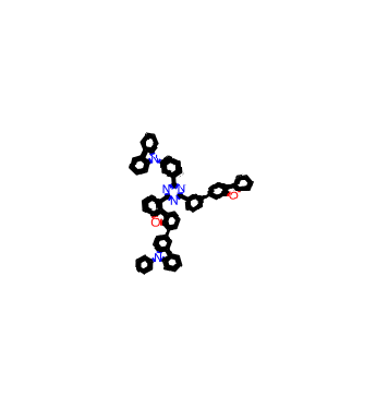 c1ccc(-n2c3ccccc3c3cc(-c4cccc5c4oc4cccc(-c6nc(-c7cccc(-c8ccc9c(c8)oc8ccccc89)c7)nc(-c7cccc(-n8c9ccccc9c9ccccc98)c7)n6)c45)ccc32)cc1